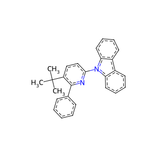 CC(C)(C)c1ccc(-n2c3ccccc3c3ccccc32)nc1-c1ccccc1